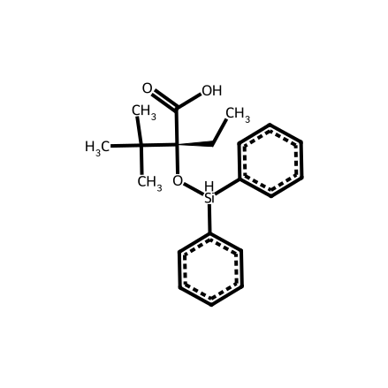 CC[C@](O[SiH](c1ccccc1)c1ccccc1)(C(=O)O)C(C)(C)C